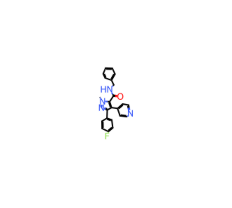 Cn1nc(-c2ccc(F)cc2)c(-c2ccncc2)c1C(=O)NCc1ccccc1